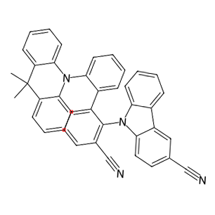 CC1(C)c2ccccc2N(c2ccccc2-c2cccc(C#N)c2-n2c3ccccc3c3cc(C#N)ccc32)c2ccccc21